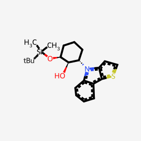 CC(C)(C)[Si](C)(C)O[C@H]1CCC[C@H](n2c3ccccc3c3sccc32)[C@H]1O